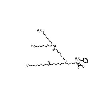 CCCCCCCCCOC(=O)CCCCCCCN(CCCCCCCC(=O)OC(CCCCCCCC)CCCCCCCC)CCCNc1c(N(C)c2ccccc2)c(=O)c1=O